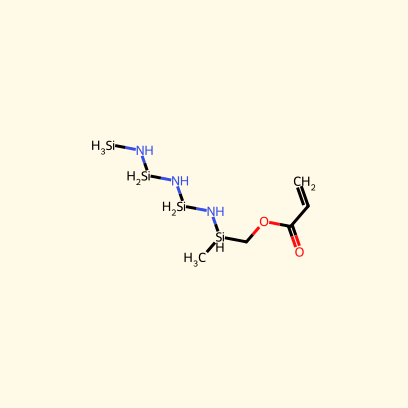 C=CC(=O)OC[SiH](C)N[SiH2]N[SiH2]N[SiH3]